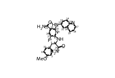 COc1ccc(C[C@@H](Nc2nc(Nc3ccc4ncccc4c3)c(C(N)=O)cc2F)C(N)=O)cc1